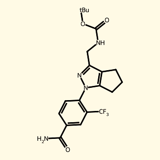 CC(C)(C)OC(=O)NCc1nn(-c2ccc(C(N)=O)cc2C(F)(F)F)c2c1CCC2